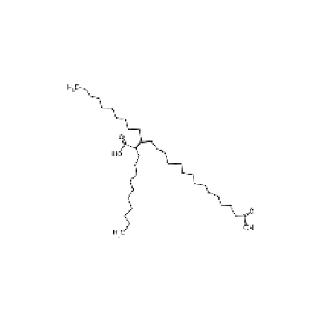 CCCCCCCCCCC(CCCCCCCCCCCCCCC(=O)O)=C(CCCCCCCCCC)C(=O)O